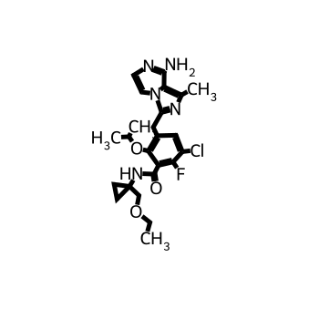 CCOCC1(NC(=O)c2c(F)c(Cl)cc(Cc3nc(C)c4c(N)nccn34)c2OC(C)C)CC1